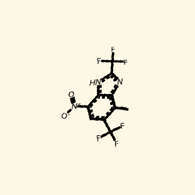 Cc1c(C(F)(F)F)cc([N+](=O)[O-])c2[nH]c(C(F)(F)F)nc12